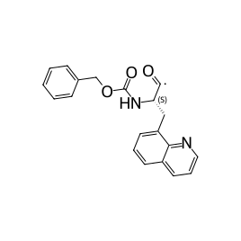 O=[C][C@H](Cc1cccc2cccnc12)NC(=O)OCc1ccccc1